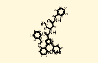 COc1cccc(OCc2ccccc2)c1-c1cc(C(=O)NC(CC(=O)NCc2ccccc2)CC(C)C)nn1C1CCCCC1